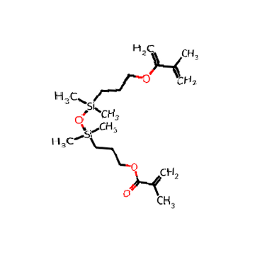 C=C(C)C(=C)OCCC[Si](C)(C)O[Si](C)(C)CCCOC(=O)C(=C)C